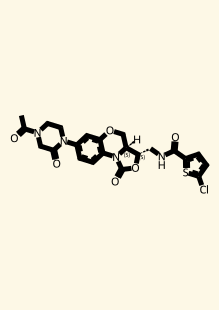 CC(=O)N1CCN(c2ccc3c(c2)OC[C@H]2[C@H](CNC(=O)c4ccc(Cl)s4)OC(=O)N32)C(=O)C1